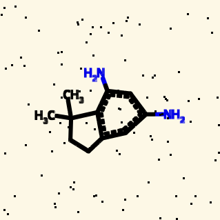 CC1(C)CCc2cc(N)cc(N)c21